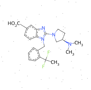 CN(C)[C@@H]1CCN(c2nc3cc(C(=O)O)ccc3n2Cc2ccccc2C(C)(F)F)C1